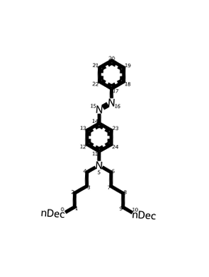 CCCCCCCCCCCCCCN(CCCCCCCCCCCCCC)c1ccc(N=Nc2ccccc2)cc1